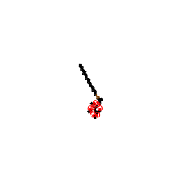 C=C(CO[C@@H]1OC[C@@H](OC(C)=O)[C@H](OC(C)=O)[C@H]1OC(C)=O)CSCCCCCCCCCCCCCCCC